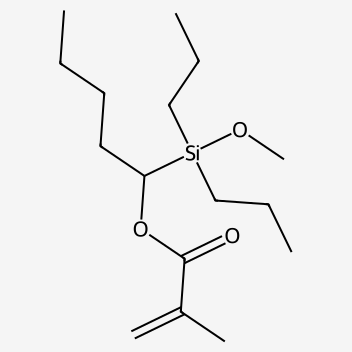 C=C(C)C(=O)OC(CCCC)[Si](CCC)(CCC)OC